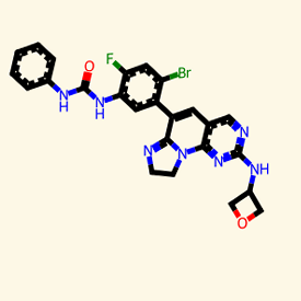 O=C(Nc1ccccc1)Nc1cc(C2=Cc3cnc(NC4COC4)nc3N3CCN=C23)c(Br)cc1F